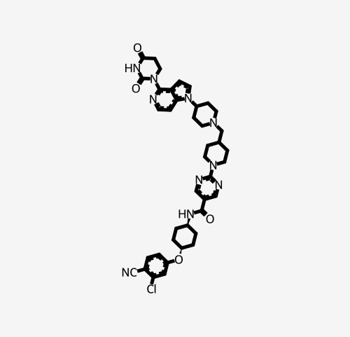 N#Cc1ccc(O[C@H]2CC[C@H](NC(=O)c3cnc(N4CCC(CN5CCC(n6ccc7c(N8CCC(=O)NC8=O)nccc76)CC5)CC4)nc3)CC2)cc1Cl